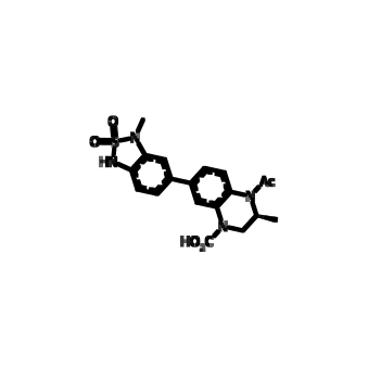 CC(=O)N1c2ccc(-c3ccc4c(c3)N(C)S(=O)(=O)N4)cc2N(C(=O)O)C[C@@H]1C